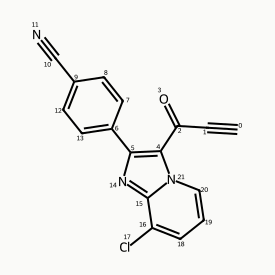 C#CC(=O)c1c(-c2ccc(C#N)cc2)nc2c(Cl)cccn12